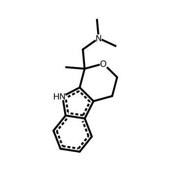 CN(C)CC1(C)OCCc2c1[nH]c1ccccc21